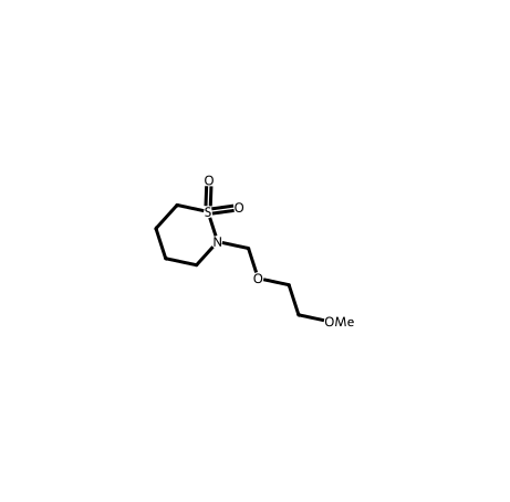 COCCOCN1CCCCS1(=O)=O